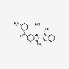 CCn1c(-c2nc3cc(C(=O)N4CCCC(N)C4)cnc3n2C)cc2ccccc21.Cl